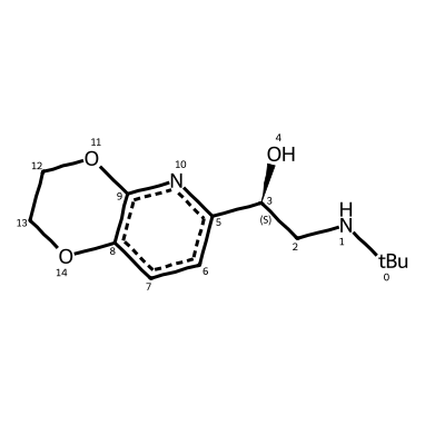 CC(C)(C)NC[C@H](O)c1ccc2c(n1)OCCO2